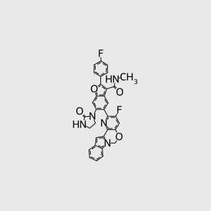 CNC(=O)c1c(-c2ccc(F)cc2)oc2cc(N3CCNC3=O)c(-c3nc4c(cc3F)OCn3c-4cc4ccccc43)cc12